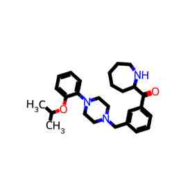 CC(C)Oc1ccccc1N1CCN(Cc2cccc(C(=O)C3CCCCCN3)c2)CC1